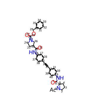 CC(=O)N1CCC[C@H]1C(=O)Nc1ccc(C#Cc2ccc(NC(=O)C3CCN(C(=O)OCc4ccccc4)C3)cc2)cc1